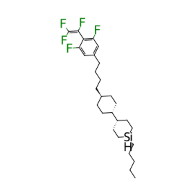 CCCCC[Si@H]1CC[C@H]([C@H]2CC[C@H](CCCCc3cc(F)c(C(F)=C(F)F)c(F)c3)CC2)CC1